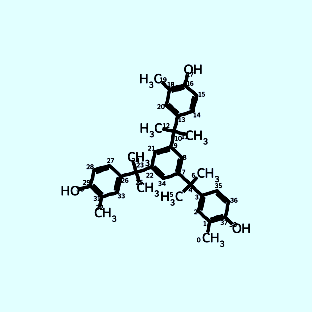 Cc1cc(C(C)(C)c2cc(C(C)(C)c3ccc(O)c(C)c3)cc(C(C)(C)c3ccc(O)c(C)c3)c2)ccc1O